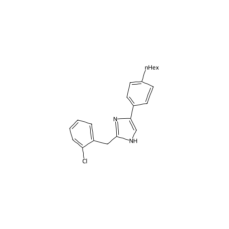 CCCCCCc1ccc(-c2c[nH]c(Cc3ccccc3Cl)n2)cc1